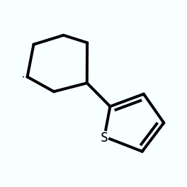 [CH]1CCCC(c2cccs2)C1